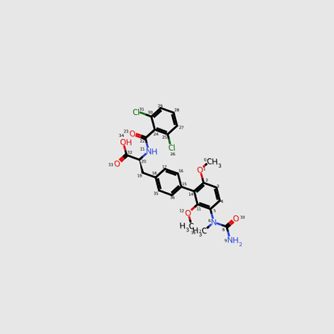 COc1ccc(N(C)C(N)=O)c(OC)c1-c1ccc(C[C@H](NC(=O)c2c(Cl)cccc2Cl)C(=O)O)cc1